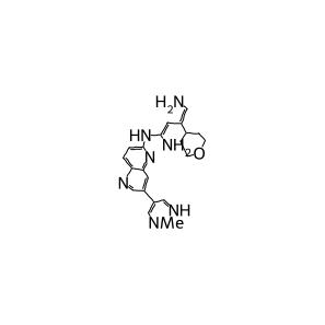 CN/C=C(\C=N)c1cnc2ccc(N/C(N)=C/C(=C\N)C3CCOCC3)nc2c1